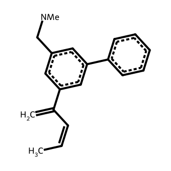 C=C(/C=C\C)c1cc(CNC)cc(-c2ccccc2)c1